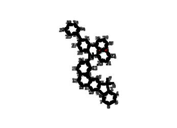 CC1(C)c2ccccc2-c2cc3ccc4ccc(N(c5ccccc5)c5ccc(-c6ccccc6)cc5-c5ccccc5)cc4c3cc21